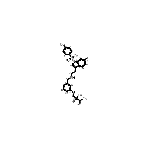 O=S(=O)(c1ccc(Br)cc1)n1cc(CCNCc2cccc(OCC(F)(F)C(F)F)c2)c2ccc(F)cc21